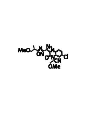 COCCn1c(=O)c2c(-c3noc(C(C)COC)n3)ncn2c2ccc(Cl)c(C#N)c21